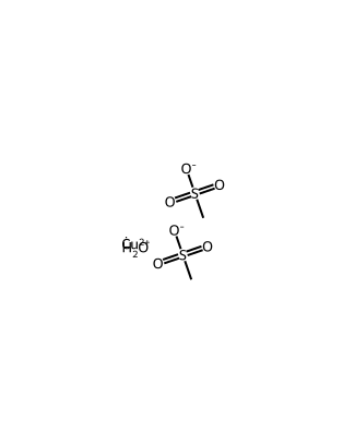 CS(=O)(=O)[O-].CS(=O)(=O)[O-].O.[Cu+2]